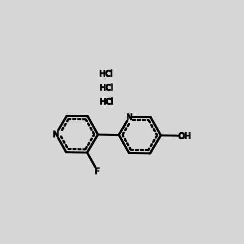 Cl.Cl.Cl.Oc1ccc(-c2ccncc2F)nc1